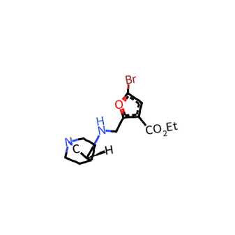 CCOC(=O)c1cc(Br)oc1CN[C@H]1CN2CCC1CC2